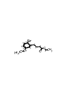 CCOC(=O)CCCc1cc(OC)ccc1Br